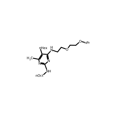 CCCCCCCCNc1nc(C)c(CCCCCC)c(NCCOCCOCCC)n1